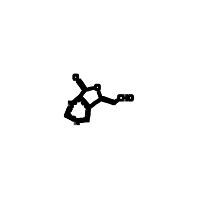 O=CC=C1OC(=O)c2ncncc21